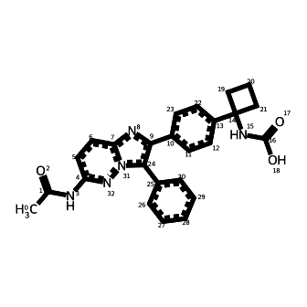 CC(=O)Nc1ccc2nc(-c3ccc(C4(NC(=O)O)CCC4)cc3)c(-c3ccccc3)n2n1